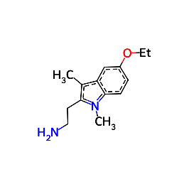 CCOc1ccc2c(c1)c(C)c(CCN)n2C